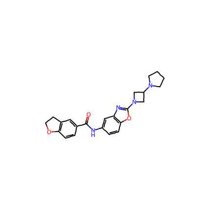 O=C(Nc1ccc2oc(N3CC(N4CCCC4)C3)nc2c1)c1ccc2c(c1)CCO2